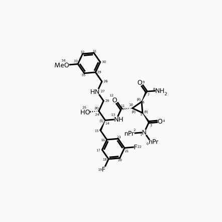 CCCN(CCC)C(=O)[C@@H]1[C@H](C(N)=O)[C@H]1C(=O)N[C@@H](Cc1cc(F)cc(F)c1)[C@H](O)CNCc1cccc(OC)c1